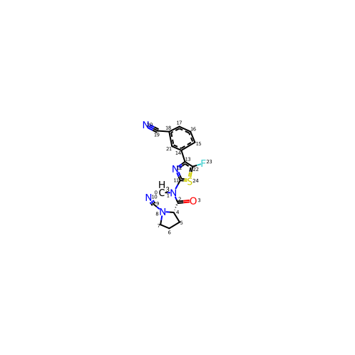 CN(C(=O)[C@@H]1CCCN1C#N)c1nc(-c2cccc(C#N)c2)c(F)s1